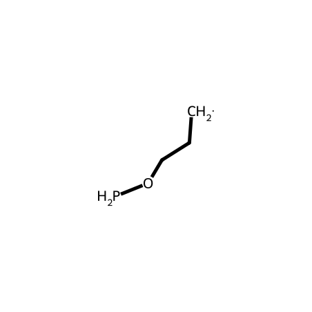 [CH2]CCOP